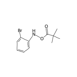 CC(C)(C)C(=O)ONc1ccccc1Br